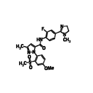 COc1ccc(-n2nc(C)cc2C(=O)Nc2ccc(C3=NCCN3C)cc2F)c(S(C)(=O)=O)c1